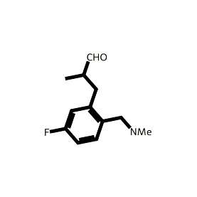 CNCc1ccc(F)cc1CC(C)C=O